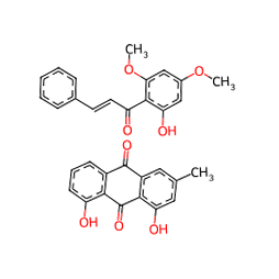 COc1cc(O)c(C(=O)C=Cc2ccccc2)c(OC)c1.Cc1cc(O)c2c(c1)C(=O)c1cccc(O)c1C2=O